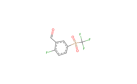 O=Cc1cc(S(=O)(=O)C(F)(F)F)ccc1F